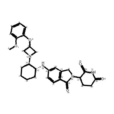 COc1ccccc1OC1CN([C@@H]2CCCC[C@H]2Nc2ccc3c(c2)CN(C2CCC(=O)NC2=O)C3=O)C1